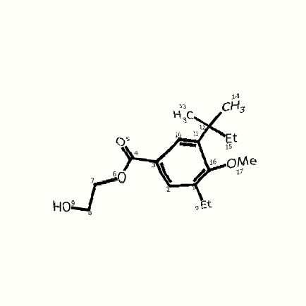 CCc1cc(C(=O)OCCO)cc(C(C)(C)CC)c1OC